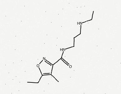 CCNCCCNC(=O)c1noc(CC)c1C